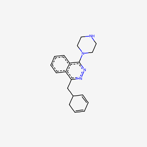 C1=CCC(Cc2nnc(N3CCNCC3)c3ccccc23)C=C1